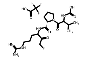 CC(C)C(NC(=O)O)C(=O)N1CCC[C@H]1C(=O)NC(CCCNC(=N)N)C(=O)CF.O=C(O)C(F)(F)F